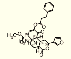 COC(=O)[C@@H]1C=C(OC(=O)CCc2ccccc2)C(=O)[C@H]2[C@@]1(N)CC[C@H]1C(=O)O[C@H](c3ccoc3)C[C@]21N